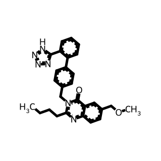 CCCCc1nc2ccc(COC)cc2c(=O)n1Cc1ccc(-c2ccccc2-c2nnn[nH]2)cc1